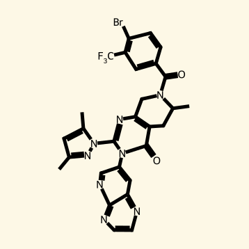 Cc1cc(C)n(-c2nc3c(c(=O)n2-c2cnc4nccnc4c2)CC(C)N(C(=O)c2ccc(Br)c(C(F)(F)F)c2)C3)n1